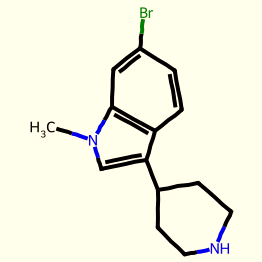 Cn1cc(C2CCNCC2)c2ccc(Br)cc21